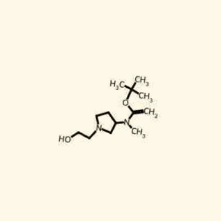 C=C(OC(C)(C)C)N(C)C1CCN(CCO)C1